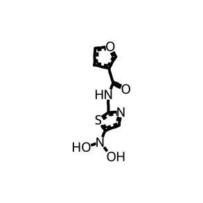 O=C(Nc1ncc(N(O)O)s1)c1ccoc1